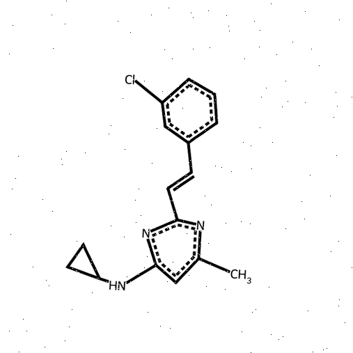 Cc1cc(NC2CC2)nc(/C=C/c2cccc(Cl)c2)n1